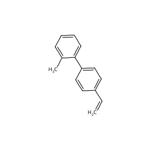 C=Cc1ccc(-c2ccccc2C)cc1